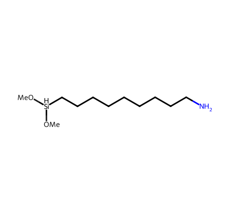 CO[SiH](CCCCCCCCCN)OC